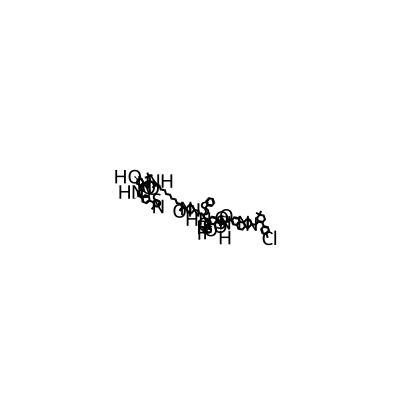 Cc1ncsc1-c1ccc([C@H](C)NC(=O)[C@@H]2C[C@@H](O)CN2C(=O)[C@@H](NC(=O)CCCCCCCCCC(=O)N2CCN(CC[C@H](CSc3ccccc3)Nc3ccc(S(=O)(=O)NC(=O)c4ccc5c(c4)CCC4CN(CC6=C(c7ccc(Cl)cc7)CCC(C)(C)C6)CCN54)cc3S(=O)(=O)C(F)(F)F)CC2)C(C)(C)C)cc1